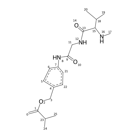 C=C(OCc1ccc(NC(=O)CNC(=O)C(NC)C(C)C)cc1)C(C)C